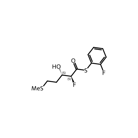 CSCC[C@H](O)[C@H](F)C(=O)Sc1ccccc1F